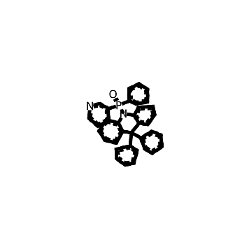 O=P(c1ccccc1)(c1cccnc1)N1c2ccccc2C(c2ccccc2)(c2ccccc2)c2ccccc21